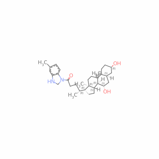 Cc1ccc2c(c1)NCN2C(=O)CC[C@@H](C)[C@H]1CC[C@H]2[C@@H]3[C@@H](O)C[C@@H]4C[C@H](O)CC[C@]4(C)[C@H]3CC[C@]12C